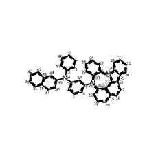 c1ccc(N(c2cccc(-n3c4cccc5ccc6c7ccccc7n(c7ccccc73)c6c54)c2)c2ccc3ccccc3c2)cc1